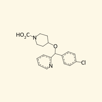 O=C(O)N1CCC(OC(c2ccc(Cl)cc2)c2ccccn2)CC1